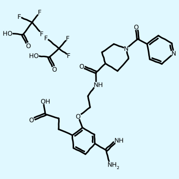 N=C(N)c1ccc(CCC(=O)O)c(OCCNC(=O)C2CCN(C(=O)c3ccncc3)CC2)c1.O=C(O)C(F)(F)F.O=C(O)C(F)(F)F